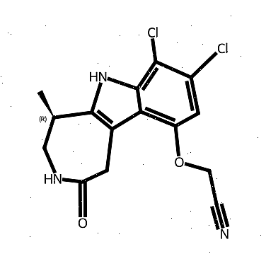 C[C@@H]1CNC(=O)Cc2c1[nH]c1c(Cl)c(Cl)cc(OCC#N)c21